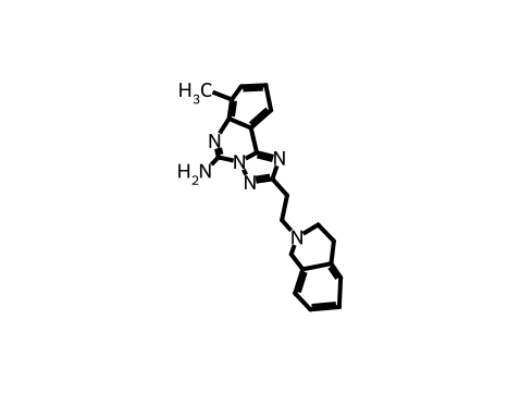 Cc1cccc2c1nc(N)n1nc(CCN3CCc4ccccc4C3)nc21